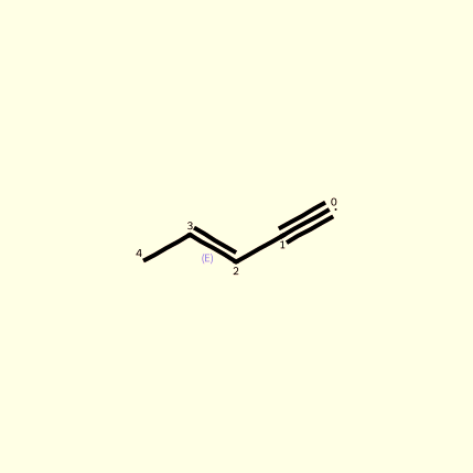 [C]#C/C=C/C